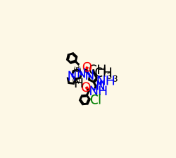 CC1(C)c2[nH]nc(NC(=O)c3ccccc3Cl)c2CN1C(=O)N1C[C@@H]2CCCN2C[C@@H]1Cc1ccccc1